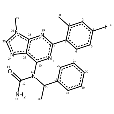 Cc1cc(F)ccc1-c1nc(N(C(N)=O)C(C)c2ccccc2)c2ncn(C)c2n1